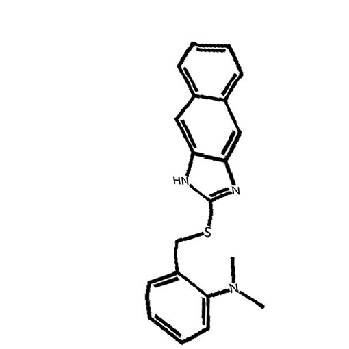 CN(C)c1ccccc1CSc1nc2cc3ccccc3cc2[nH]1